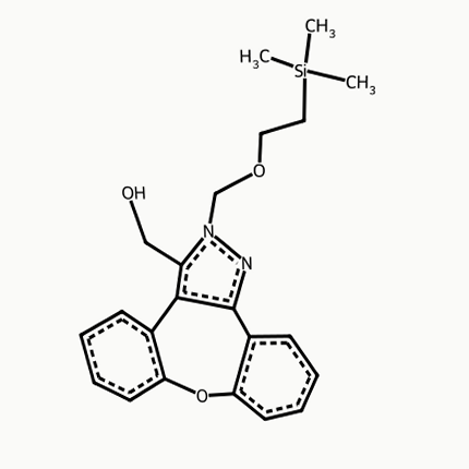 C[Si](C)(C)CCOCn1nc2c(c1CO)-c1ccccc1Oc1ccccc1-2